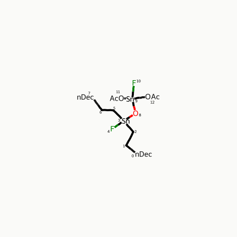 CCCCCCCCCCC[CH2][Sn]([F])([CH2]CCCCCCCCCCC)[O][Sn]([F])([O]C(C)=O)[O]C(C)=O